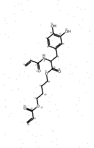 C=CC(=O)NC(Cc1ccc(O)c(O)c1)C(=O)OCCCCOC(=O)C=C